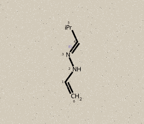 C=CN/N=C/C(C)C